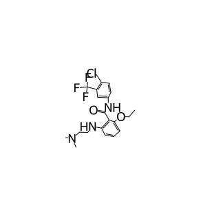 CCOc1cccc(NCCN(C)C)c1C(=O)Nc1ccc(Cl)c(C(F)(F)F)c1